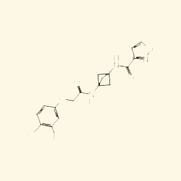 O=C(COc1ccc(Cl)c(F)c1)NC12CC(NC(=O)c3ccon3)(C1)C2